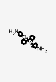 Cc1cc(N)ccc1Oc1ccccc1C(C)(C)c1ccccc1Oc1ccc(N)cc1